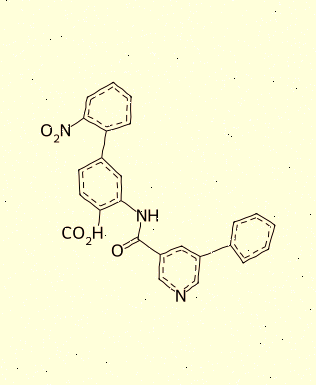 O=C(Nc1cc(-c2ccccc2[N+](=O)[O-])ccc1C(=O)O)c1cncc(-c2ccccc2)c1